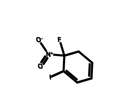 O=[N+]([O-])C1(F)CC=CC=C1I